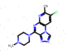 CN1CCN(c2nc3nc(C#N)c(Cl)cc3n3cnnc23)CC1